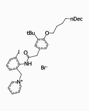 CCCCCCCCCCCCCCOc1ccc(CC(=O)Nc2c(I)cccc2C[n+]2ccccc2)cc1C(C)(C)C.[Br-]